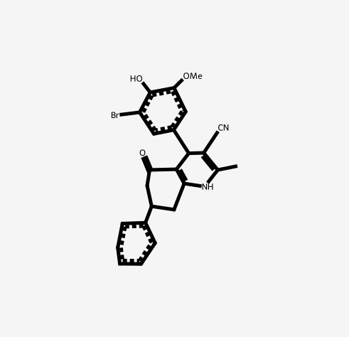 COc1cc(C2C(C#N)=C(C)NC3=C2C(=O)CC(c2ccccc2)C3)cc(Br)c1O